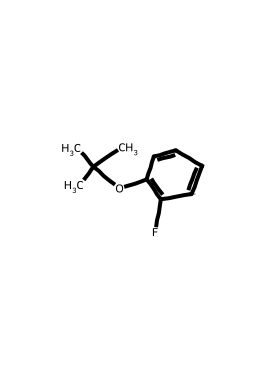 CC(C)(C)Oc1ccc[c]c1F